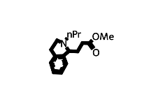 CCCN1CCc2ccccc2C1CCC(=O)OC